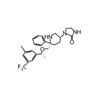 Cc1cc([C@@H](C)OC[C@@]2(c3ccccc3)CC[C@H](N3CCNC3=O)CN2)cc(C(F)(F)F)c1